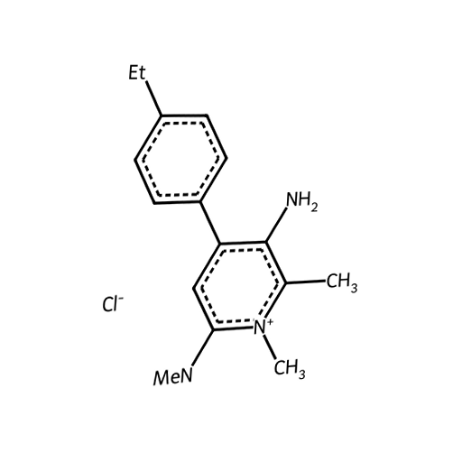 CCc1ccc(-c2cc(NC)[n+](C)c(C)c2N)cc1.[Cl-]